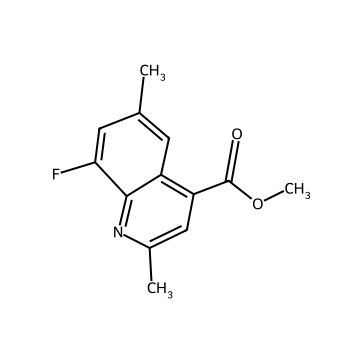 COC(=O)c1cc(C)nc2c(F)cc(C)cc12